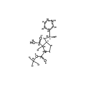 C[C@@H](CC1CCN(C(=O)OC(C)(C)C)C1(C)C(=O)O)c1cccnc1